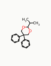 CC(C)C1OCC(c2ccccc2)(c2ccccc2)CO1